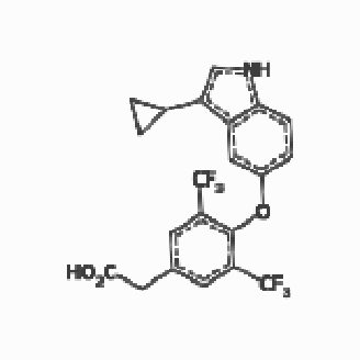 O=C(O)Cc1cc(C(F)(F)F)c(Oc2ccc3[nH]cc(C4CC4)c3c2)c(C(F)(F)F)c1